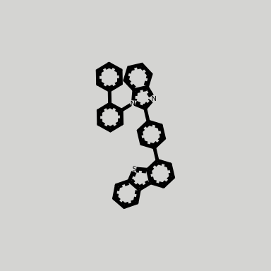 c1ccc(-c2ccccc2-n2c(-c3ccc(-c4cccc5c4sc4ccccc45)cc3)nc3ccccc32)cc1